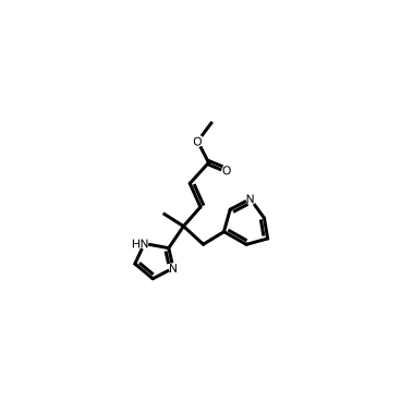 COC(=O)C=CC(C)(Cc1cccnc1)c1ncc[nH]1